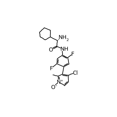 Cc1c(-c2cc(F)c(NC(=O)[C@@H](N)C3CCCCC3)cc2F)c(Cl)cc[n+]1[O-]